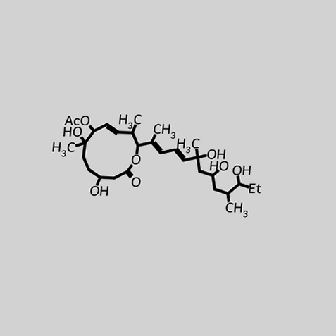 CCC(O)C(C)CC(O)CC(C)(O)/C=C/C=C(\C)C1OC(=O)CC(O)CCC(C)(O)C(OC(C)=O)/C=C/C1C